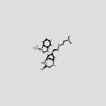 CN(C)CCON=Cc1cc2cc(c1)SCC(=O)N2.FC(F)(F)N1CCc2ccccc21